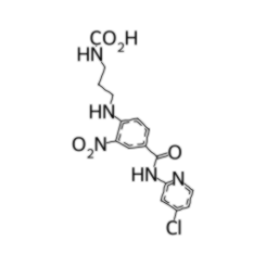 O=C(O)NCCCNc1ccc(C(=O)Nc2cc(Cl)ccn2)cc1[N+](=O)[O-]